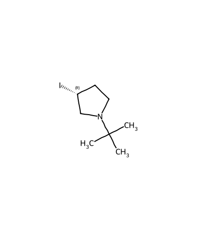 CC(C)(C)N1CC[C@@H](I)C1